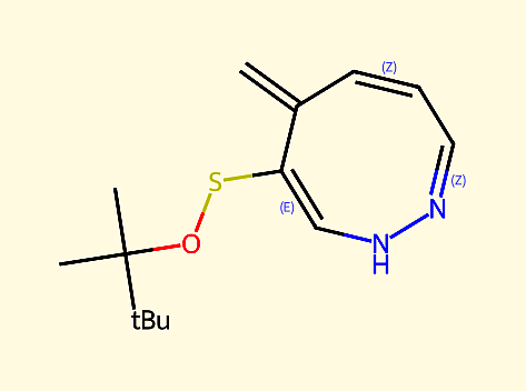 C=C1/C=C\C=N/N/C=C\1SOC(C)(C)C(C)(C)C